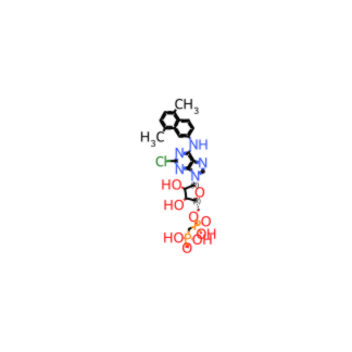 Cc1ccc(C)c2cc(Nc3nc(Cl)nc4c3ncn4[C@@H]3O[C@H](COP(=O)(O)CP(=O)(O)O)C(O)C3O)ccc12